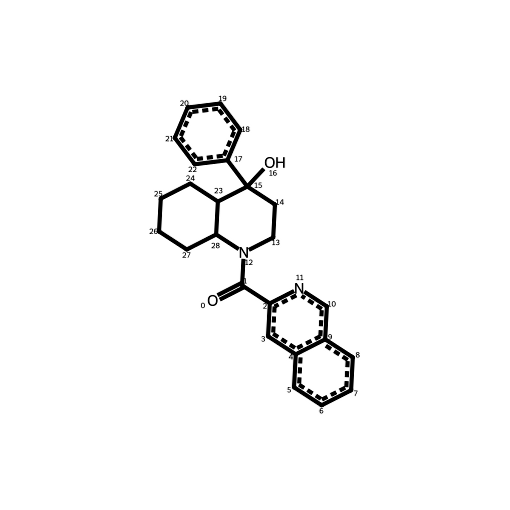 O=C(c1cc2ccccc2cn1)N1CCC(O)(c2ccccc2)C2CCCCC21